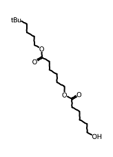 CC(C)(C)CCCCOC(=O)CCCCCOC(=O)CCCCCO